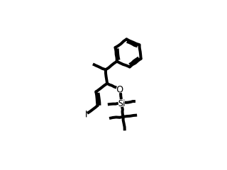 CC(c1ccccc1)C(/C=C/I)O[Si](C)(C)C(C)(C)C